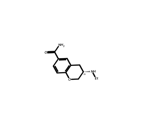 CCN[C@@H]1COc2ccc(C(N)=O)cc2C1